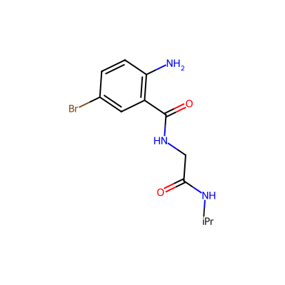 CC(C)NC(=O)CNC(=O)c1cc(Br)ccc1N